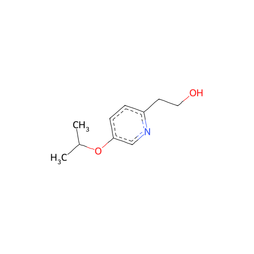 CC(C)Oc1ccc(CCO)nc1